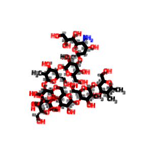 CC1C(O)[C@H](OC2OC(CO)[C@H](O)[C@H](O[C@]3(C(=O)O)C[C@@H](O)[C@@H](N)C(C(O)C(O)CO)O3)C2O)[C@H](CO)O[C@H]1O[C@@H]1C(O)[C@H](O)C(CO)O[C@@H]1OCC1O[C@@H](O[C@@H]2C(CO)O[C@@H](O[C@@H]3C(CO)O[C@@H](C)[C@@H](C)C3O)[C@@H](C)C2O)[C@H](O)C(O[C@H]2O[C@H](CO)[C@@H](O)C(O)C2O)[C@@H]1O